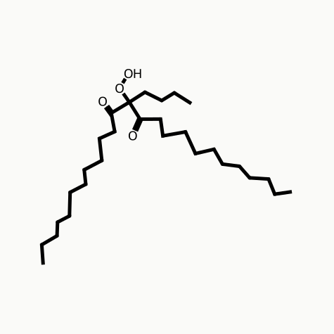 CCCCCCCCCCCC(=O)C(CCCC)(OO)C(=O)CCCCCCCCCCC